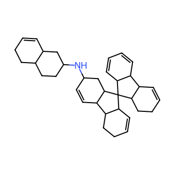 C1=CC2C3C=CCCC3C3(C2C=C1)C1C=CCCC1C1C=CC(NC2CCC4CCC=CC4C2)CC13